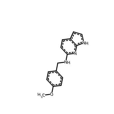 COc1ccc(CNc2ccc3cc[nH]c3n2)cc1